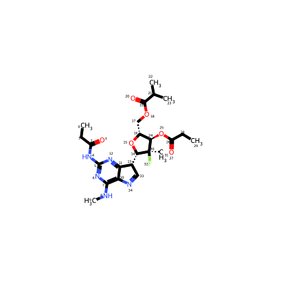 CCC(=O)Nc1nc(NC)c2c(n1)C([C@@H]1O[C@H](COC(=O)C(C)C)[C@@H](OC(=O)CC)[C@@]1(C)F)C=N2